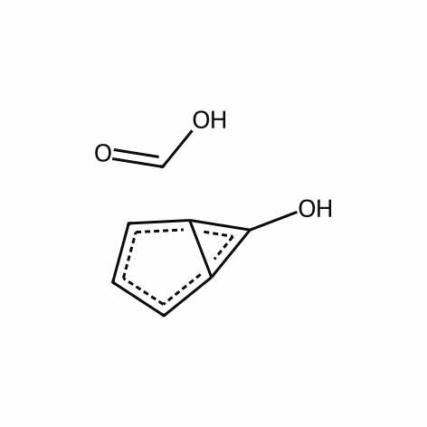 O=CO.Oc1c2cccc1-2